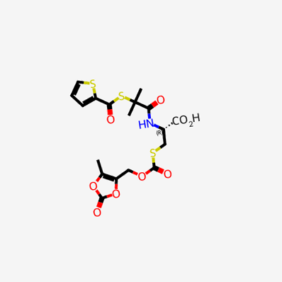 Cc1oc(=O)oc1COC(=O)SC[C@H](NC(=O)C(C)(C)SC(=O)c1cccs1)C(=O)O